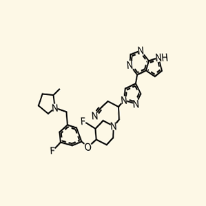 CC1CCCN1Cc1cc(F)cc(OC2CCN(CC(CC#N)n3cc(-c4ncnc5[nH]ccc45)cn3)CC2F)c1